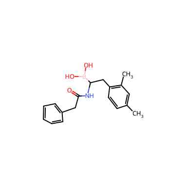 Cc1ccc(CC(NC(=O)Cc2ccccc2)B(O)O)c(C)c1